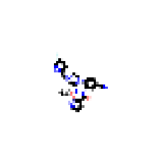 COc1ncccc1C(=O)Nc1cc(C#N)ccc1N1CCN(Cc2ccc(F)cn2)CC1